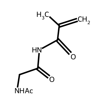 C=C(C)C(=O)NC(=O)CNC(C)=O